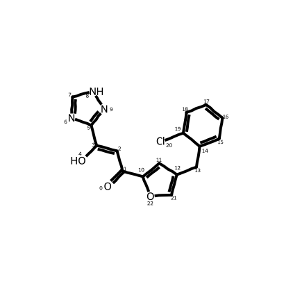 O=C(C=C(O)c1nc[nH]n1)c1cc(Cc2ccccc2Cl)co1